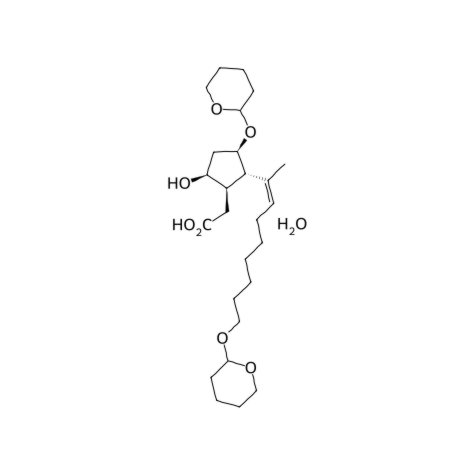 CC(=CCCCCCCOC1CCCCO1)[C@@H]1[C@@H](CC(=O)O)[C@@H](O)C[C@H]1OC1CCCCO1.O